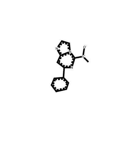 C[S+]([O-])c1nc(-c2ccccc2)cc2nccn12